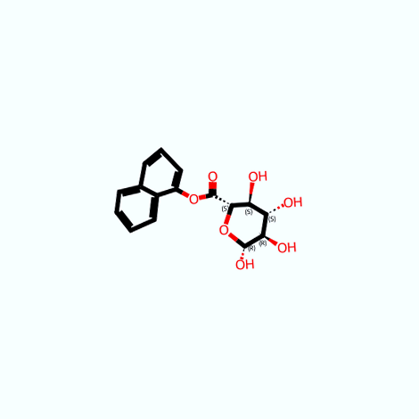 O=C(Oc1cccc2ccccc12)[C@H]1O[C@@H](O)[C@H](O)[C@@H](O)[C@@H]1O